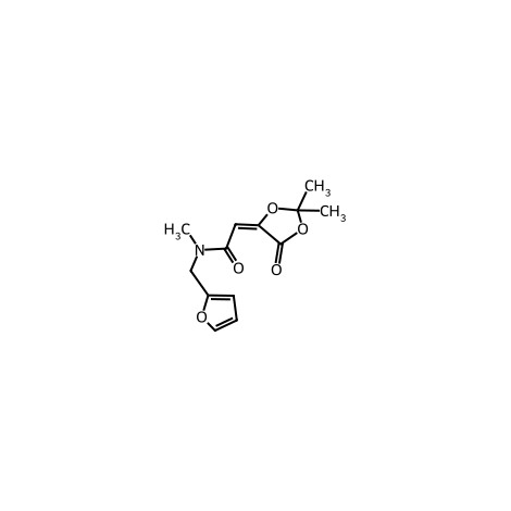 CN(Cc1ccco1)C(=O)C=C1OC(C)(C)OC1=O